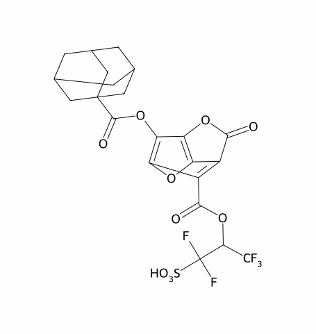 O=C1Oc2c(OC(=O)C34CC5CC(CC(C5)C3)C4)c3oc2c1c3C(=O)OC(C(F)(F)F)C(F)(F)S(=O)(=O)O